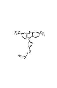 COCCOc1ccc(N2c3ccc(C(F)(F)F)cc3Sc3cc(C(F)(F)F)ccc32)cc1